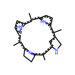 Cc1c2cc(c(C)c3ccc([nH]3)c(C)c3ccc([nH]3)c(C)c3nc1CC3)CN2